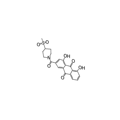 CS(=O)(=O)C1CCN(C(=O)c2cc(O)c3c(c2)C(=O)c2cccc(O)c2C3=O)CC1